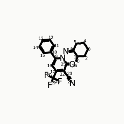 CC1CCCC/C1=N/n1c(-c2ccccc2)cc(C(F)(F)F)c(C#N)c1=O